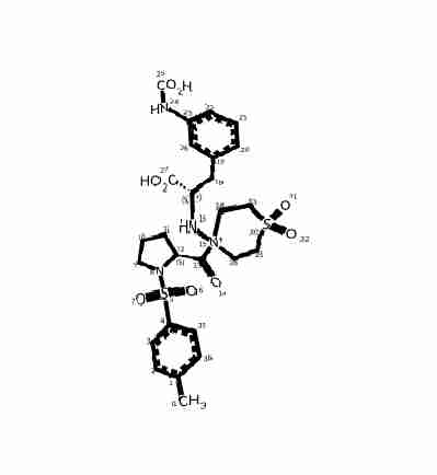 Cc1ccc(S(=O)(=O)N2CCC[C@H]2C(=O)[N+]2(N[C@@H](Cc3cccc(NC(=O)O)c3)C(=O)O)CCS(=O)(=O)CC2)cc1